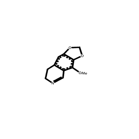 COc1c2c(cc3c1OCO3)CCN=C2